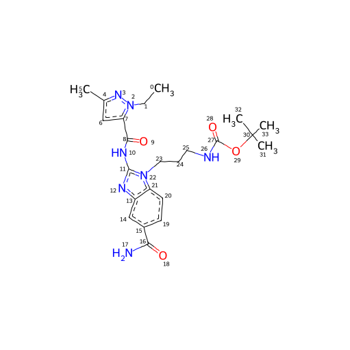 CCn1nc(C)cc1C(=O)Nc1nc2cc(C(N)=O)ccc2n1CCCNC(=O)OC(C)(C)C